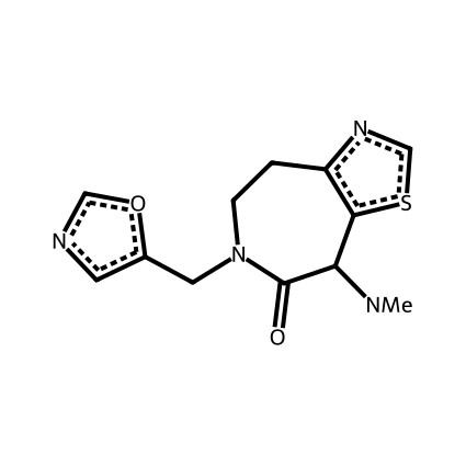 CNC1C(=O)N(Cc2cnco2)CCc2ncsc21